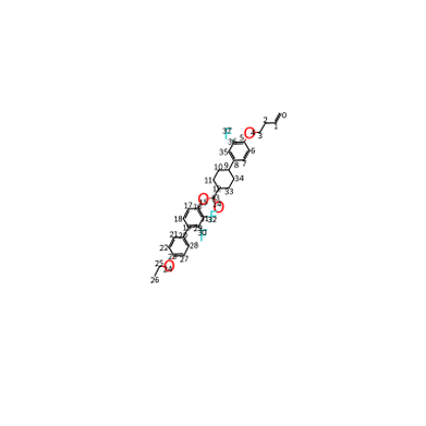 C=CCCOc1ccc(C2CCC(C(=O)Oc3ccc(-c4ccc(OCC)cc4)c(F)c3F)CC2)cc1F